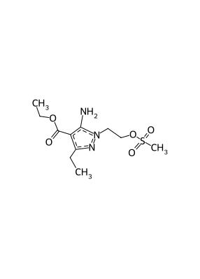 CCOC(=O)c1c(CC)nn(CCOS(C)(=O)=O)c1N